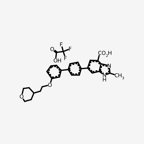 Cc1nc2c(C(=O)O)cc(-c3ccc(-c4cccc(OCCC5CCOCC5)c4)cc3)cc2[nH]1.O=C(O)C(F)(F)F